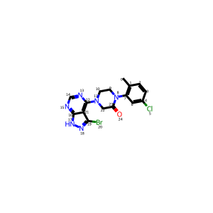 Cc1ccc(Cl)cc1N1CCN(c2ncnc3[nH]nc(Br)c23)CC1=O